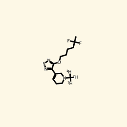 [2H]C([2H])([2H])N1CCC=C(c2nsnc2OCCCCC(C)(F)F)C1